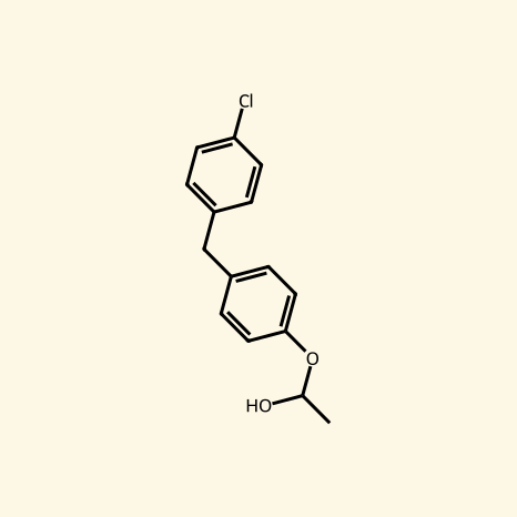 CC(O)Oc1ccc(Cc2ccc(Cl)cc2)cc1